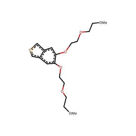 COCCOCCOc1cc2cscc2cc1OCCOCCOC